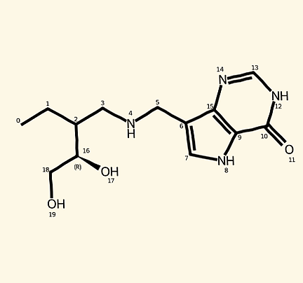 CCC(CNCc1c[nH]c2c(=O)[nH]cnc12)[C@@H](O)CO